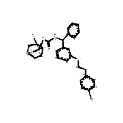 O=C(NC(c1ccccc1)c1cccc(OCCc2ccc(Br)cc2)c1)O[C@H]1CN2CCC1CC2